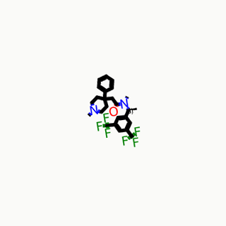 C[C@@H](c1cc(C(F)(F)F)cc(C(F)(F)F)c1)N(C)C(=O)CC1(c2ccccc2)CCN(C)CC1